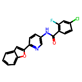 O=C(Nc1ccc(-c2cc3ccccc3o2)nc1)c1ccc(Cl)cc1F